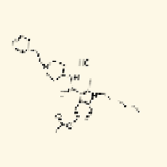 CCCCCCn1c(C)c(C(=O)NC2CCN(CCc3ccccc3)CC2)c2cc(OC(C)=O)ccc21.Cl